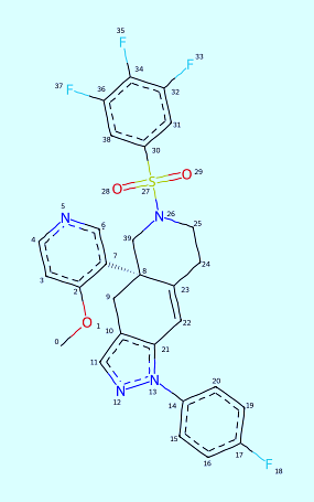 COc1ccn[c]c1[C@@]12Cc3cnn(-c4ccc(F)cc4)c3C=C1CCN(S(=O)(=O)c1cc(F)c(F)c(F)c1)C2